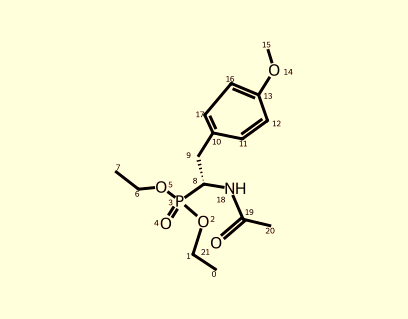 CCOP(=O)(OCC)[C@H](Cc1ccc(OC)cc1)NC(C)=O